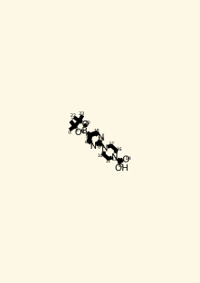 CC1(C)OB(c2cnc(N3CCN(C(=O)O)CC3)nc2)OC1(C)C